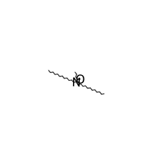 CCCCCCCCCCCCN(CCCCCCCCCCCC)C(=O)CCC